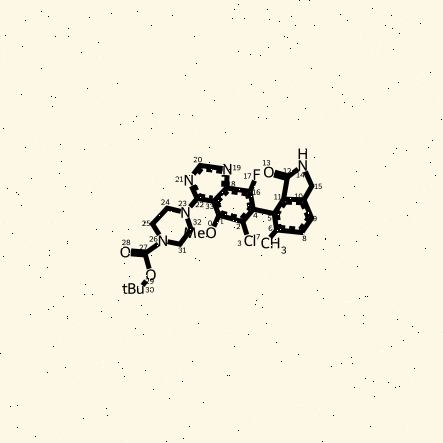 COc1c(Cl)c(-c2c(C)ccc3c2C(=O)NC3)c(F)c2ncnc(N3CCN(C(=O)OC(C)(C)C)CC3)c12